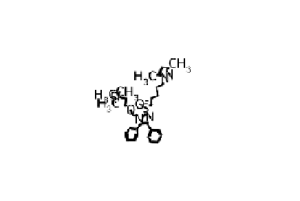 Cc1cc(C)n(CCCCC[S+]([O-])c2nc(-c3ccccc3)c(-c3ccccc3)n2COCC[Si](C)(C)C)n1